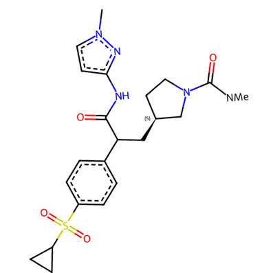 CNC(=O)N1CC[C@H](CC(C(=O)Nc2ccn(C)n2)c2ccc(S(=O)(=O)C3CC3)cc2)C1